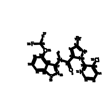 CN(C(=O)c1cc(Br)nn1-c1ncccc1Cl)c1nsc2cccc(OC(F)F)c12